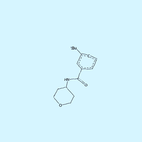 CC(C)(C)c1cccc(C(=O)NC2CCOCC2)c1